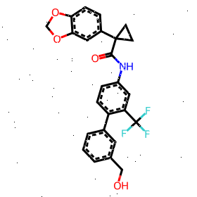 O=C(Nc1ccc(-c2cccc(CO)c2)c(C(F)(F)F)c1)C1(c2ccc3c(c2)OCO3)CC1